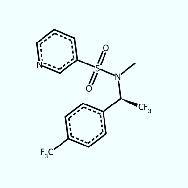 CN([C@H](c1ccc(C(F)(F)F)cc1)C(F)(F)F)S(=O)(=O)c1cccnc1